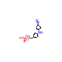 [N-]=[N+]=C1C=CC(Nc2ccc(CCOP(=O)(O)O)cc2)=CC1